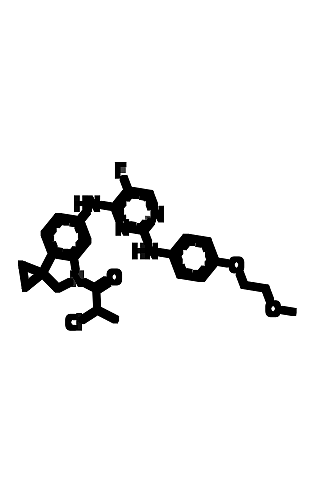 COCCOc1ccc(Nc2ncc(F)c(Nc3ccc4c(c3)N(C(=O)C(C)Cl)CC43CC3)n2)cc1